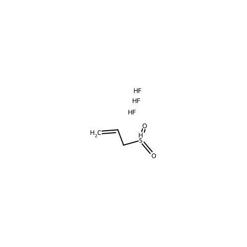 C=CC[SH](=O)=O.F.F.F